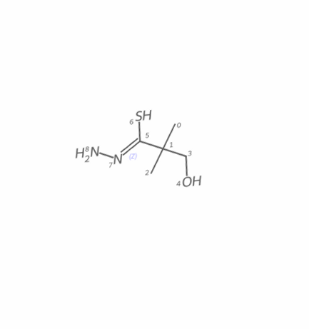 CC(C)(CO)/C(S)=N/N